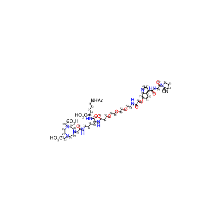 CC(=O)NCCCC[C@H](NC(=O)[C@H](CCCCNC(=O)CN1CCN(CC(=O)O)CCN(CC(=O)O)CC1)NC(=O)CCOCCOCCOCCNC(=O)COc1ccc2c(C(=O)NCC(=O)N3CCC[C@H]3C#N)ccnc2c1)C(=O)O